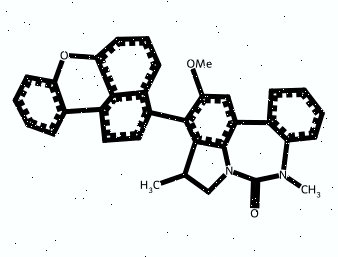 COc1cc2c3c(c1-c1ccc4c5c(cccc15)Oc1ccccc1-4)C(C)CN3C(=O)N(C)c1ccccc1-2